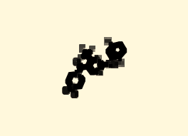 O=C(c1cnc(N[C@@H]2C[C@H]3CC[C@@H]2C3)nc1C(F)(F)F)N1CCS(=O)(=O)CC1